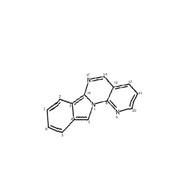 c1ccc2c(c1)cn1c3ncccc3cnc21